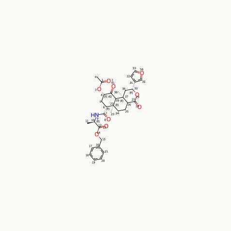 CC(=O)O[C@H]1C[C@@H](C(=O)N[C@H](C)C(=O)OCc2ccccc2)[C@]2(C)CCC3C(=O)O[C@@H](c4ccoc4)C[C@]3(C)C2C1=O